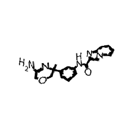 CC1(c2cccc(NC(=O)c3cn4ccccc4n3)c2)COCC(N)=N1